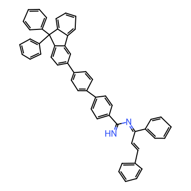 N=C(/N=C(\C=C\c1ccccc1)c1ccccc1)c1ccc(-c2ccc(-c3ccc4c(c3)-c3ccccc3C4(c3ccccc3)c3ccccc3)cc2)cc1